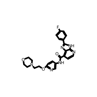 O=C(Nc1ccc(OCCN2CCOCC2)nc1)c1ccnc2[nH]c(-c3ccc(F)cc3)nc12